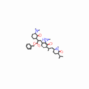 CNC1C(=O)C(C(C)CC2CCC(C(C)C)C(=O)N2C)CCC1CC(C(=O)OCc1ccccc1)C1CCCC(N(C)C)C1=O